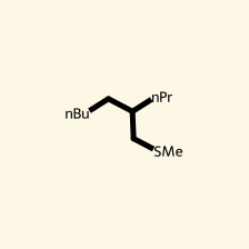 CCCCCC(CCC)CSC